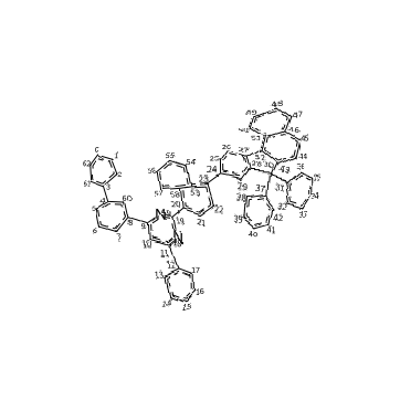 c1ccc(-c2cccc(-c3cc(-c4ccccc4)nc(-c4ccc(-c5ccc6c(c5)C(c5ccccc5)(c5ccccc5)c5ccc7ccccc7c5-6)c5ccccc45)n3)c2)cc1